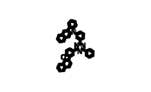 c1ccc(-c2nc(-c3cccc(-n4c5ccccc5c5cc6ccccc6cc54)c3)nc(-c3ccc4oc5c6ccccc6ccc5c4c3)n2)cc1